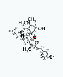 CN(C)c1cc(O)c2c3c1C[C@@H]1[C@@H]4CC[C@H](N(C)C(=O)/C=C/c5cc(Br)cs5)[C@H](O2)[C@]34CCN1CC1CC1